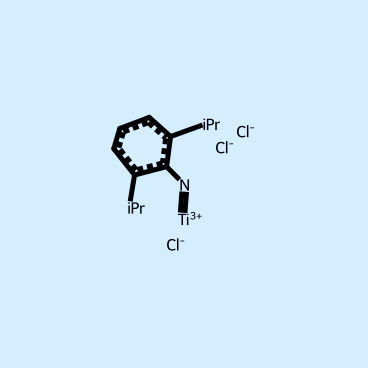 CC(C)c1cccc(C(C)C)c1[N]=[Ti+3].[Cl-].[Cl-].[Cl-]